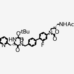 CC(=O)NC[C@H]1CN(c2ccc(-c3ccc(CNC(=O)[C@H](Cc4ccccn4)NC(=O)OC(C)(C)C)cc3)c(F)c2)C(=O)O1